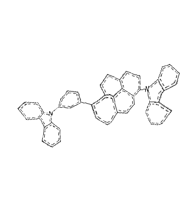 c1cc(-c2ccc3ccc4c(-n5c6ccccc6c6ccccc65)ccc5ccc2c3c54)cc(-n2c3ccccc3c3ccccc32)c1